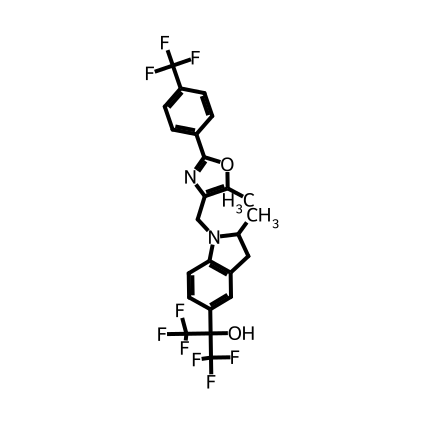 Cc1oc(-c2ccc(C(F)(F)F)cc2)nc1CN1c2ccc(C(O)(C(F)(F)F)C(F)(F)F)cc2CC1C